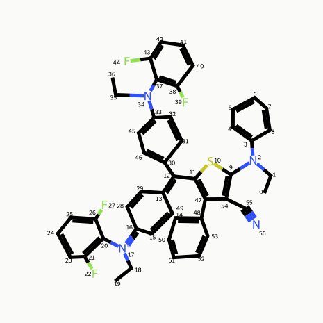 CCN(c1ccccc1)c1sc(C(=C2C=CC(=[N+](CC)c3c(F)cccc3F)C=C2)c2ccc(N(CC)c3c(F)cccc3F)cc2)c(-c2ccccc2)c1C#N